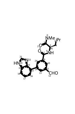 CNC(=O)[C@@H](CC(C)C)NC(=O)c1cc(C=O)cc(-c2cccc3[nH]cnc23)c1